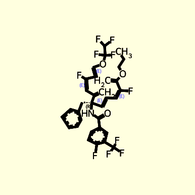 C=C(OCCC)/C(F)=C\C=C\[C@@](Cc1ccccc1)(NC(=O)c1ccc(F)c(C(F)(F)F)c1)C(=C)/C=C(F)\C=C\OC(F)(F)C(F)F